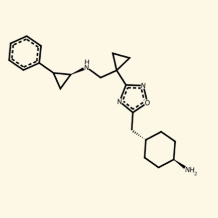 N[C@H]1CC[C@H](Cc2nc(C3(CN[C@H]4CC4c4ccccc4)CC3)no2)CC1